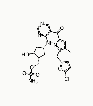 Cc1cc(C(=O)c2cncnc2N[C@@H]2C[C@H](COS(N)(=O)=O)[C@@H](O)C2)nn1Cc1ccc(Cl)o1